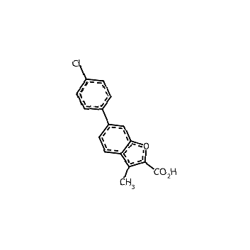 Cc1c(C(=O)O)oc2cc(-c3ccc(Cl)cc3)ccc12